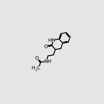 CC(=O)NCCC1Cc2c[c]ccc2NC1=O